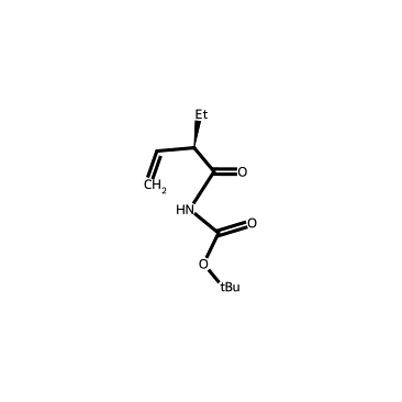 C=C[C@@H](CC)C(=O)NC(=O)OC(C)(C)C